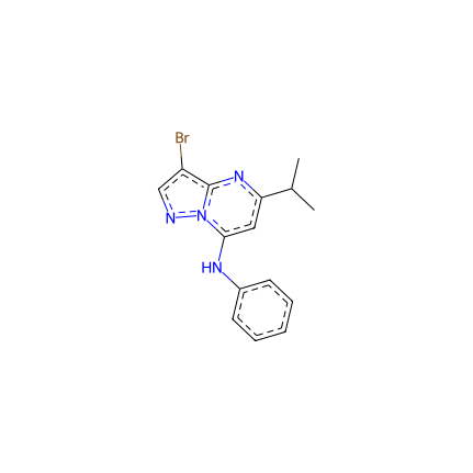 CC(C)c1cc(Nc2ccccc2)n2ncc(Br)c2n1